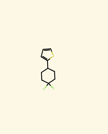 FC1(F)CCC(c2cccs2)CC1